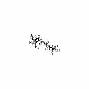 C/C=C/C1=C(C)C(=O)C(OC(=O)CCC(=O)OC[C@H](O)[C@H]2OC(=O)C(O)=C2O)CC1(C)C